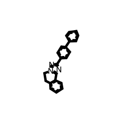 c1ccc(-c2ccc(-c3nc4n(n3)CCc3ccccc3-4)cc2)cc1